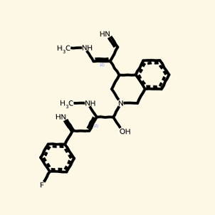 CN/C=C(\C=N)C1CN(C(O)/C(=C/C(=N)c2ccc(F)cc2)NC)Cc2ccccc21